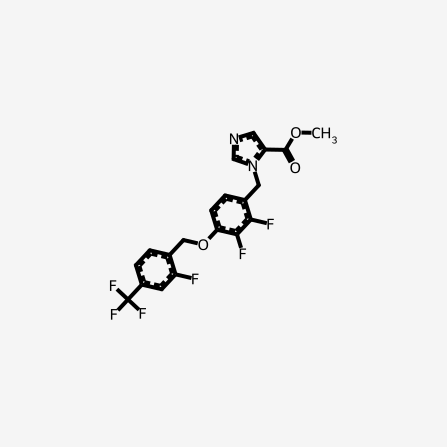 COC(=O)c1cncn1Cc1ccc(OCc2ccc(C(F)(F)F)cc2F)c(F)c1F